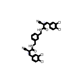 N#C/C(=C/c1ccc(Cl)c(Cl)c1)C(=O)NCc1cccc(CNC(=O)/C(C#N)=C\c2ccc(Cl)c(Cl)c2)c1